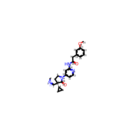 C/N=C\[C@@]1(C2CC2)CCN(c2ccnc(NC(=O)Cc3cccc(OC)c3)c2)C1=O